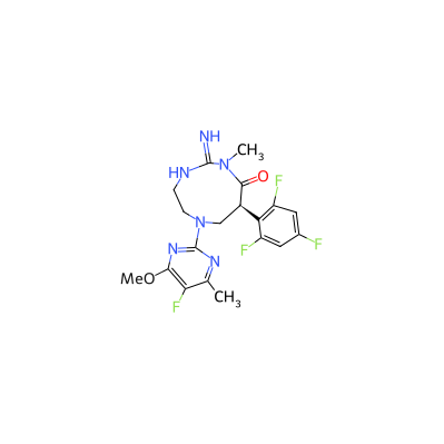 COc1nc(N2CCNC(=N)N(C)C(=O)[C@@H](c3c(F)cc(F)cc3F)C2)nc(C)c1F